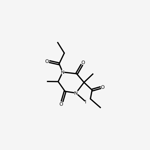 CCC(=O)N1C(=O)C(C)(C(=O)CC)N(I)C(=O)C1C